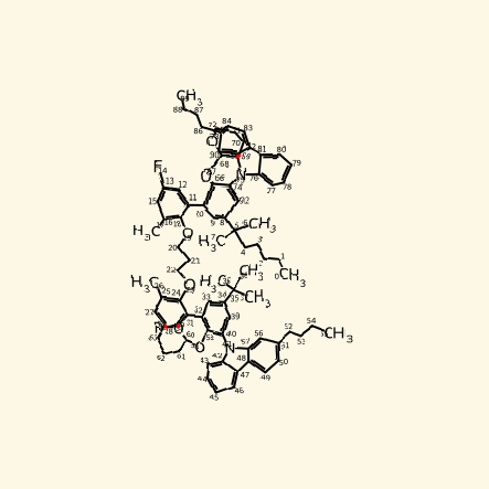 CCCCCC(C)(C)c1cc(-c2cc(F)cc(C)c2OCCCOc2c(C)cc(F)cc2-c2cc(C(C)(C)C)cc(-n3c4ccccc4c4ccc(CCCC)cc43)c2OC2CCCCO2)c(OC2CCCCO2)c(-n2c3ccccc3c3ccc(CCCC)cc32)c1